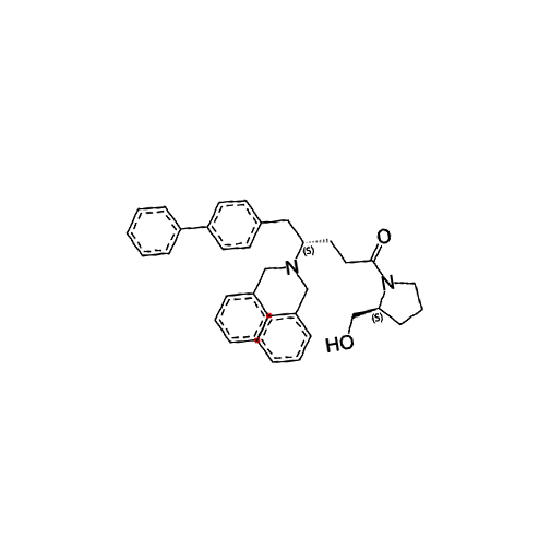 O=C(CC[C@@H](Cc1ccc(-c2ccccc2)cc1)N(Cc1ccccc1)Cc1ccccc1)N1CCC[C@H]1CO